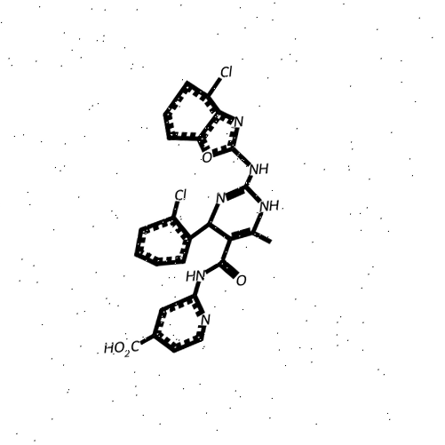 CC1=C(C(=O)Nc2cc(C(=O)O)ccn2)C(c2ccccc2Cl)N=C(Nc2nc3c(Cl)cccc3o2)N1